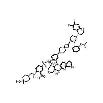 CC(C)Oc1ccccc1[C@H]1CN([C@H]2CCOc3cc(F)c(F)cc32)CCN1C1CC2(CCN(c3ccc(C(=O)NS(=O)(=O)c4ccc(NCC5CCC(C)(O)CC5)c([N+](=O)[O-])c4)c(N4c5cc6cc[nH]c6nc5O[C@H]5COCC[C@@H]54)c3)CC2)C1